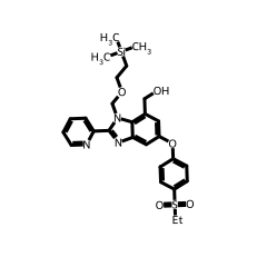 CCS(=O)(=O)c1ccc(Oc2cc(CO)c3c(c2)nc(-c2ccccn2)n3COCC[Si](C)(C)C)cc1